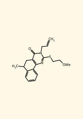 C=CCn1c(SCCOC)nc2c(c1=O)CC(C)c1ccccc1-2